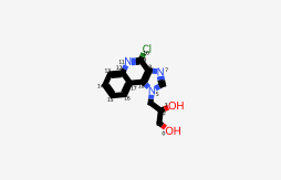 OCC(O)Cn1cnc2c(Cl)nc3ccccc3c21